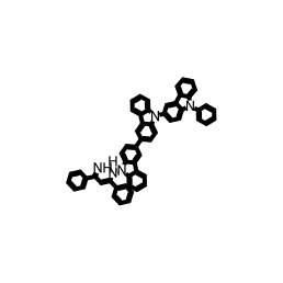 N=C(/C=C(\Nn1c2ccccc2c2cc(-c3ccc4c(c3)c3ccccc3n4-c3ccc4c(c3)c3ccccc3n4-c3ccccc3)ccc21)c1ccccc1)c1ccccc1